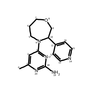 Cc1cc(N2CCCOCC2c2ccncc2)nc(N)n1